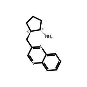 N[C@H]1CCC[C@@H]1Cc1cnc2ccccc2n1